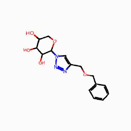 OC1COC(n2cc(COCc3ccccc3)nn2)C(O)C1O